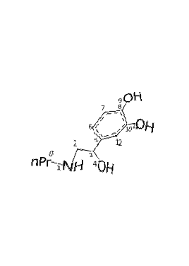 CCCNCC(O)c1ccc(O)c(O)c1